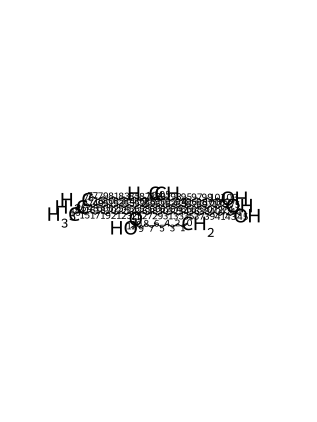 C=CCCCCCCCCC(=O)O.CCCCCCCCCCCCCCCCCCCCCCCCCCCCCCCCO.CCCCCCCCCCCCCCCCCCCCCCCCCCCCCO.CCCCCCCCCCCCCCCCCCCCCCCCCCCO.[CH2]C